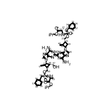 C=C1[C@@H](n2cnc3c2N=C(c2nc(N)c4ncn([C@H]5C[C@@H](COP(=O)(N[C@@H](C)C(=O)OC(C)C)Oc6ccccc6)C5=C)c4n2)NC3N)[C@H](CO)[C@H]1COP(=O)(Cc1ccccc1)NC(C)C(=O)OC(C)C